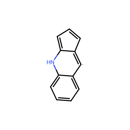 [c]1c2cccc-2[nH]c2ccccc12